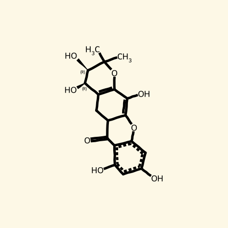 CC1(C)OC2=C(CC3C(=O)c4c(O)cc(O)cc4OC3=C2O)[C@@H](O)[C@H]1O